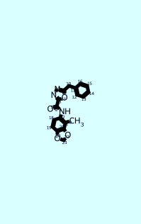 Cc1c(NC(=O)c2nnc(Cc3ccccc3)o2)ccc2c1OCO2